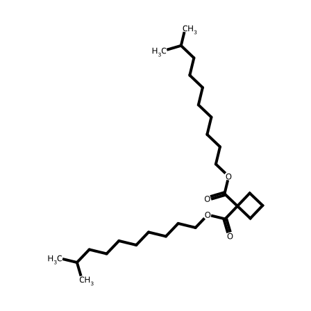 CC(C)CCCCCCCCOC(=O)C1(C(=O)OCCCCCCCCC(C)C)CCC1